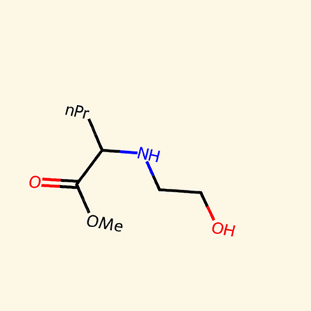 CCCC(NCCO)C(=O)OC